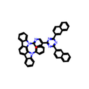 c1ccc(-n2c3ccccc3c3ccc4c5ccccc5n(-c5ccc(-c6nc(-c7ccc8ccccc8c7)nc(-c7ccc8ccccc8c7)n6)cn5)c4c32)cc1